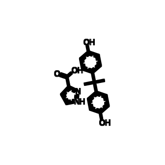 CC(C)(c1ccc(O)cc1)c1ccc(O)cc1.O=C(O)c1cc[nH]n1